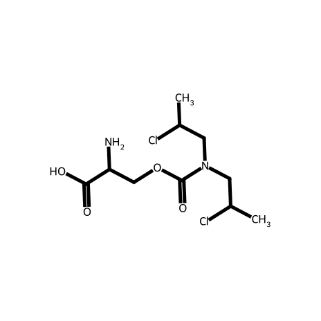 CC(Cl)CN(CC(C)Cl)C(=O)OCC(N)C(=O)O